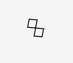 [C]1CCC12CCC2